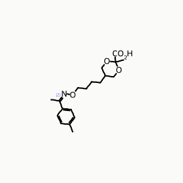 C/C(=N/OCCCCC1COC(C)(C(=O)O)OC1)c1ccc(C)cc1